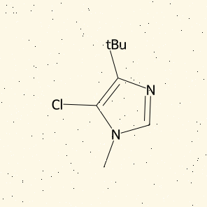 Cn1cnc(C(C)(C)C)c1Cl